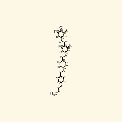 CCCCc1ccc(CCC2CCC(CCc3cc(F)c(CCc4cc(F)c(Cl)c(F)c4)c(F)c3)CC2)cc1